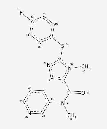 CN(C(=O)c1cnc(Sc2ccc(F)cn2)n1C)c1cccnc1